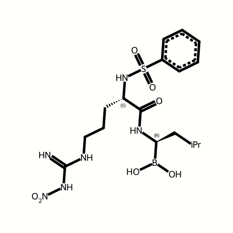 CC(C)C[C@H](NC(=O)[C@H](CCCNC(=N)N[N+](=O)[O-])NS(=O)(=O)c1ccccc1)B(O)O